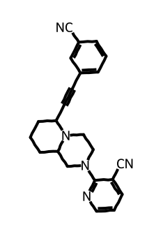 N#Cc1cccc(C#CC2CCCC3CN(c4ncccc4C#N)CCN23)c1